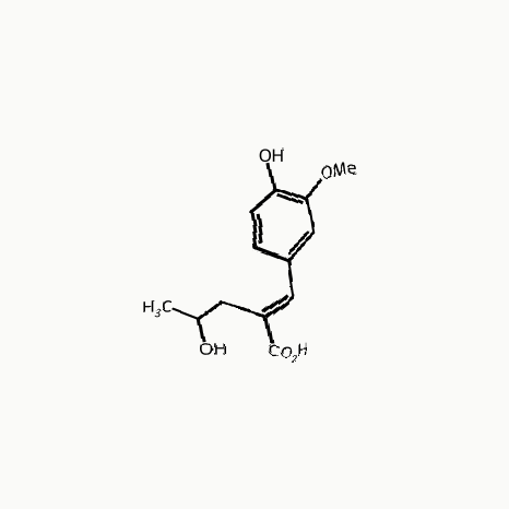 COc1cc(C=C(CC(C)O)C(=O)O)ccc1O